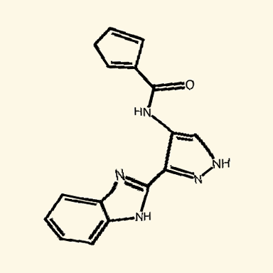 O=C(Nc1c[nH]nc1-c1nc2ccccc2[nH]1)C1=CCC=C1